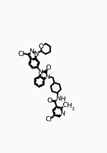 Cc1ncc(Cl)cc1C(=O)NC1CCC(Cn2c(=O)n(-c3ccc4c(Cl)nn(C5CCCCO5)c4c3)c3ccccc32)CC1